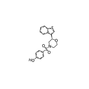 O=S(=O)(c1ccc(O)cc1)N1CCO[C@H](c2csc3ccccc23)C1